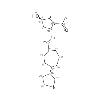 CC(=O)N1C[C@H](O)C[C@H]1COC1CCCC(C2CCCC2)CC1